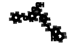 O=C(O)CC(c1ccc(OCc2ccccc2)nc1)n1ccc(CCCc2ccc3c(n2)NCCC3)n1